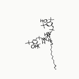 CCCCCCCCCCCCSN1CN(NCC(C)(C)Cc2cc(C(C)(C)C)c(O)c(C(C)(C)C)c2)CN(NCC(C)(C)Cc2cc(C(C)(C)C)c(O)c(C(C)(C)C)c2)C1